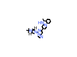 CC(Nc1cc(-c2cc3nccn3c(N3C[C@@H]4C[C@H]3CN4C(C)(C)C)n2)ccn1)c1ccccc1